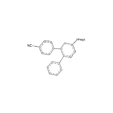 CCCCCCCc1ccc(-c2ccccc2)c(-c2ccc(C#N)cc2)c1